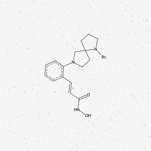 CC(=O)N1CCCC12CCN(c1ccccc1/C=C/C(=O)NO)C2